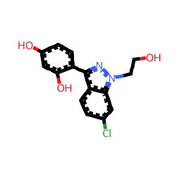 OCCn1nc(-c2ccc(O)cc2O)c2ccc(Cl)cc21